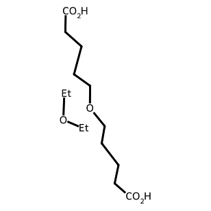 CCOCC.O=C(O)CCCCOCCCCC(=O)O